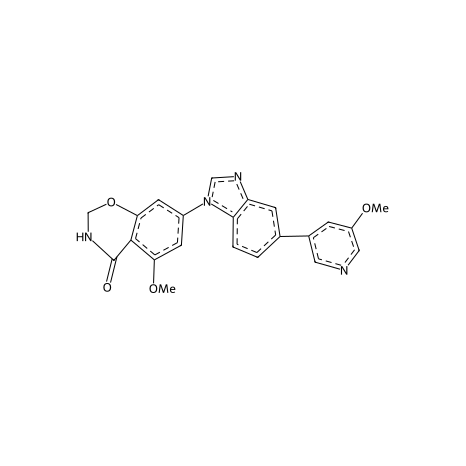 COc1cncc(-c2ccc3c(c2)ncn3-c2cc(OC)c3c(c2)OCNC3=O)c1